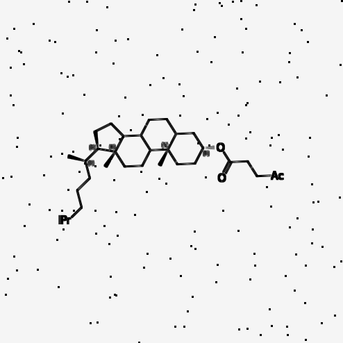 CC(=O)CCC(=O)O[C@@H]1CC[C@@]2(C)C(CCC3C2CC[C@@]2(C)C3CC[C@@H]2[C@H](C)CCCC(C)C)C1